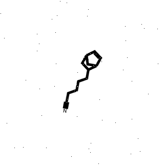 N#CCCCCC1CC2C=CC1C2